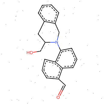 O=Cc1cccc2c(N3Cc4ccccc4CC3CO)cccc12